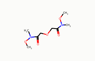 CON(C)C(=O)COCC(=O)N(C)OC